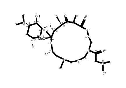 CO[C@]1(C)C[C@@H](C)CN(C)CCCN(C(=O)CN(C)C(C)C)CCOC(=O)C(C)C(=O)[C@H](C)[C@H]1O[C@@H]1O[C@H](C)C[C@H](N(C)C)[C@H]1O